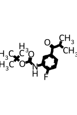 CC(C)C(=O)c1ccc(F)c(NC(=O)OC(C)(C)C)c1